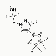 Cc1nn(CC(C)(C)O)cc1B1OC(C)(C)C(C)(C)O1